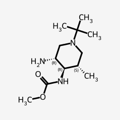 COC(=O)N[C@H]1[C@H](N)CN(C(C)(C)C)C[C@@H]1C